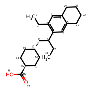 CCc1cc2c(cc1C(CC)C[C@H]1CC[C@H](C(=O)O)CC1)CCCC2